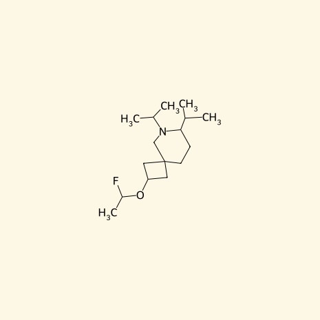 CC(F)OC1CC2(CCC(C(C)C)N(C(C)C)C2)C1